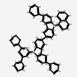 C1=CCCC(c2cc(-c3ccccc3)cc(-n3c4ccc(-c5ccccc5)cc4c4cc(-c5ccc6c(c5)c5cc(-c7ccccc7)ccc5n6-c5cccc6ccccc56)ccc43)n2)=C1